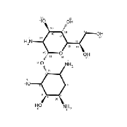 NC1C[C@@H](N)[C@@H](O)C(O)[C@@H]1O[C@H]1OC([C@H](O)CO)[C@@H](O)[C@H](O)C1N